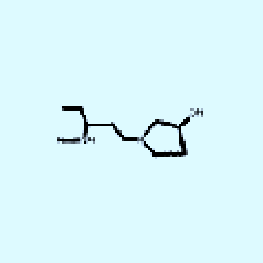 CCC(CCN1CCC(O)C1)NC